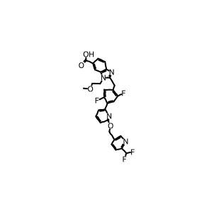 COCCn1c(Cc2cc(F)c(-c3cccc(OCc4ccc(C(F)F)nc4)n3)cc2F)nc2ccc(C(=O)O)cc21